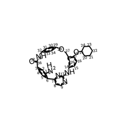 Nc1cc2ccc1-c1ccnc(n1)Nc1ccc(OC3CCCCC3)c(c1)COc1ccc(cc1)NC2=O